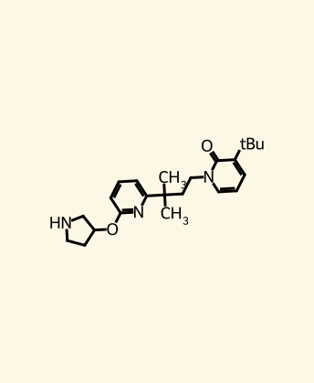 CC(C)(C)c1cccn(CCC(C)(C)c2cccc(OC3CCNC3)n2)c1=O